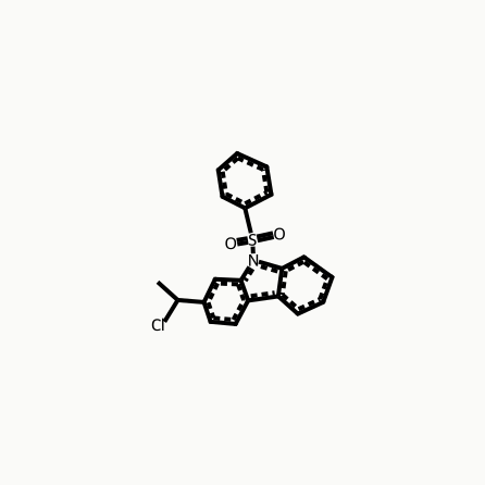 CC(Cl)c1ccc2c3ccccc3n(S(=O)(=O)c3ccccc3)c2c1